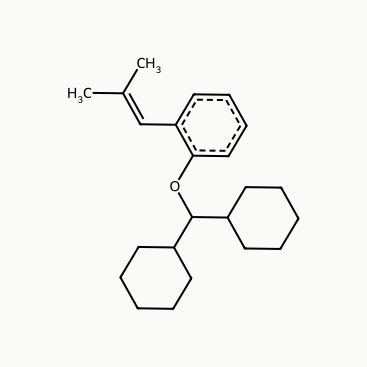 CC(C)=Cc1ccccc1OC(C1CCCCC1)C1CCCCC1